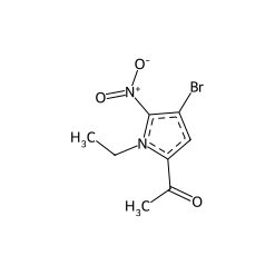 CCn1c(C(C)=O)cc(Br)c1[N+](=O)[O-]